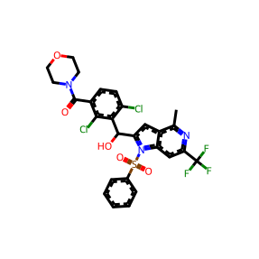 Cc1nc(C(F)(F)F)cc2c1cc(C(O)c1c(Cl)ccc(C(=O)N3CCOCC3)c1Cl)n2S(=O)(=O)c1ccccc1